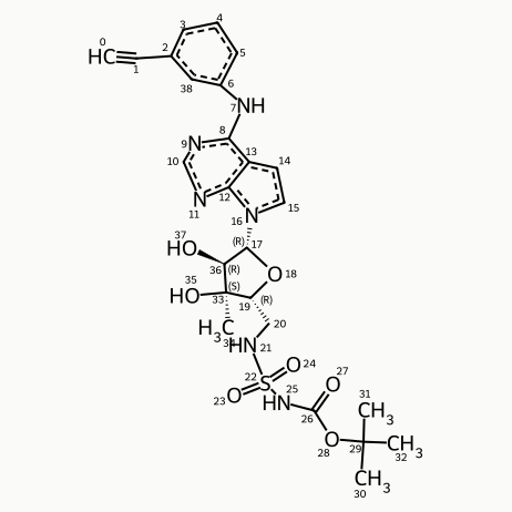 C#Cc1cccc(Nc2ncnc3c2ccn3[C@@H]2O[C@H](CNS(=O)(=O)NC(=O)OC(C)(C)C)[C@@](C)(O)[C@H]2O)c1